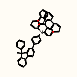 CC1(c2ccccc2)c2ccccc2-c2ccc(-c3ccc(N(c4ccccc4-c4cccc5cccc(-c6ccccc6)c45)c4cccc5c4oc4ccccc45)cc3)cc21